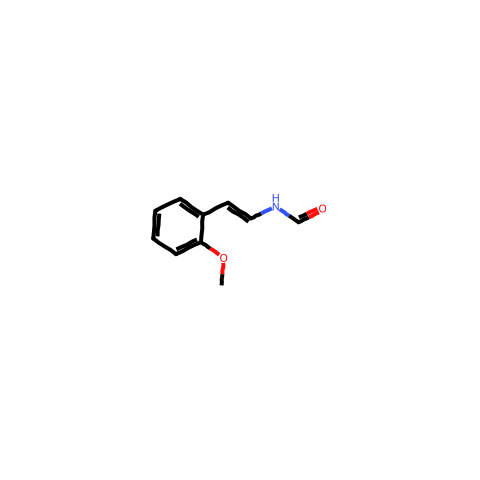 COc1ccccc1C=CNC=O